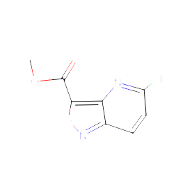 COC(=O)c1onc2ccc(Cl)nc12